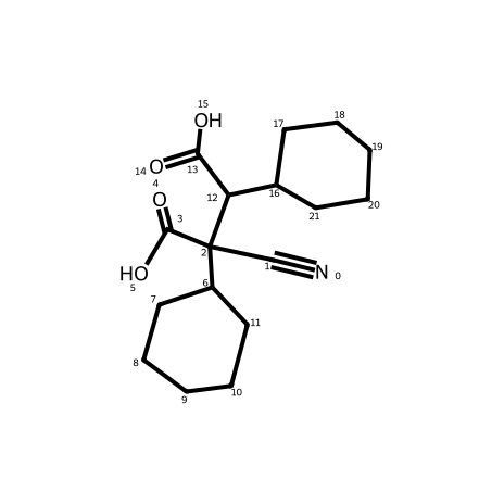 N#CC(C(=O)O)(C1CCCCC1)C(C(=O)O)C1CCCCC1